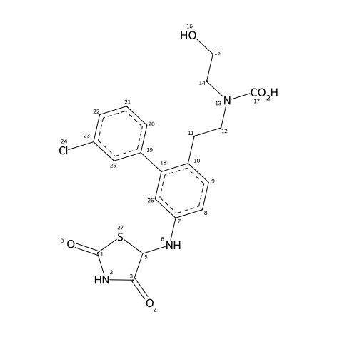 O=C1NC(=O)C(Nc2ccc(CCN(CCO)C(=O)O)c(-c3cccc(Cl)c3)c2)S1